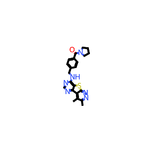 Cc1nnc2sc3c(NCc4ccc(C(=O)N5CCCC5)cc4)ncnc3c2c1C